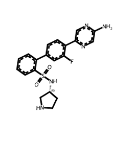 Nc1cnc(-c2ccc(-c3ccccc3S(=O)(=O)N[C@@H]3CCNC3)cc2F)cn1